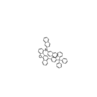 c1ccc(C2(c3ccccc3)c3ccccc3-c3cc(-c4cc5c(oc6cccc(N(c7ccc8ccccc8c7)c7ccc8ccccc8c7)c65)c5ccccc45)ccc32)cc1